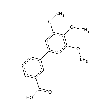 COc1cc(-c2ccnc(C(=O)O)c2)cc(OC)c1OC